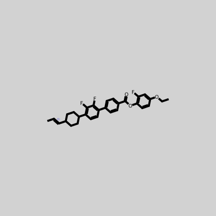 C/C=C/C1CCC(c2ccc(-c3ccc(C(=O)Oc4ccc(OCC)cc4F)cc3)c(F)c2F)CC1